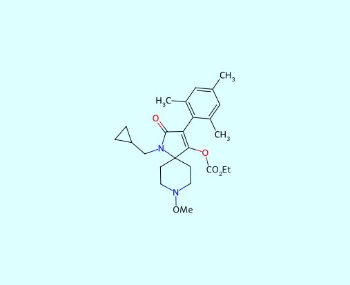 CCOC(=O)OC1=C(c2c(C)cc(C)cc2C)C(=O)N(CC2CC2)C12CCN(OC)CC2